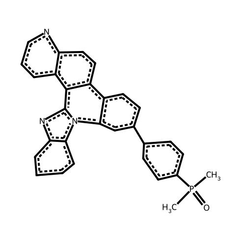 CP(C)(=O)c1ccc(-c2ccc3c4ccc5ncccc5c4c4nc5ccccc5n4c3c2)cc1